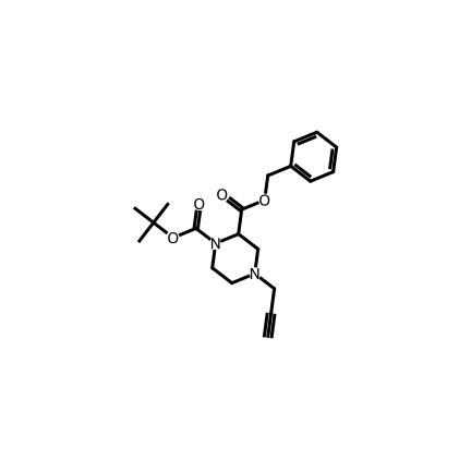 C#CCN1CCN(C(=O)OC(C)(C)C)C(C(=O)OCc2ccccc2)C1